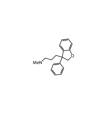 CNCCCC1(c2ccccc2)COc2ccccc21